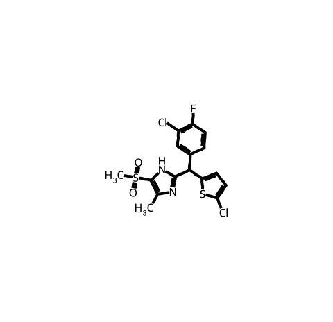 Cc1nc(C(c2ccc(F)c(Cl)c2)c2ccc(Cl)s2)[nH]c1S(C)(=O)=O